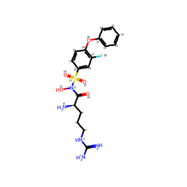 N=C(N)NCCC[C@@H](N)C(=O)N(O)S(=O)(=O)c1ccc(Oc2ccccc2)c(F)c1